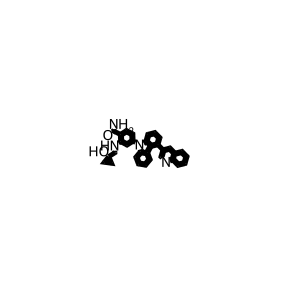 NC(=O)c1ccc(-n2c3ccccc3c3c(-c4cnc5ccccc5c4)cccc32)cc1NCC1(O)CC1